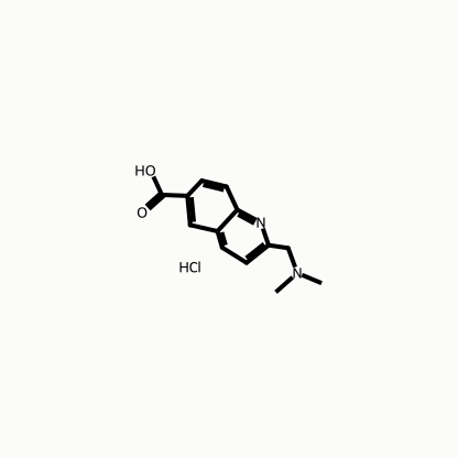 CN(C)Cc1ccc2cc(C(=O)O)ccc2n1.Cl